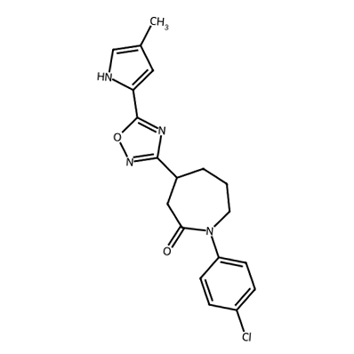 Cc1c[nH]c(-c2nc(C3CCCN(c4ccc(Cl)cc4)C(=O)C3)no2)c1